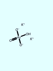 O=[As]([O-])([O-])O.[K+].[K+]